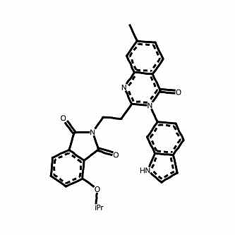 Cc1ccc2c(=O)n(-c3ccc4cc[nH]c4c3)c(CCN3C(=O)c4cccc(OC(C)C)c4C3=O)nc2c1